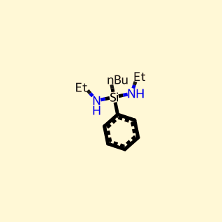 CCCC[Si](NCC)(NCC)c1ccccc1